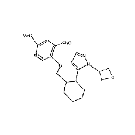 COc1cc(C=O)c(OCC2CCCCC2c2ccnn2C2COC2)cn1